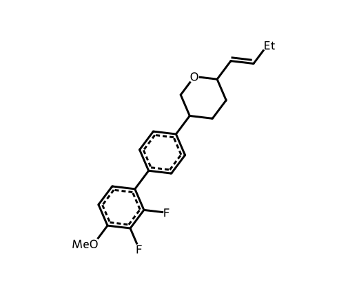 CC/C=C/C1CCC(c2ccc(-c3ccc(OC)c(F)c3F)cc2)CO1